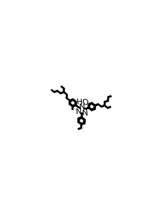 CCCCC(CC)CCc1ccc(-c2nc(-c3ccc(CC)cc3)nc(-c3ccc(CCC(CC)CCCC)cc3O)n2)c(C)c1